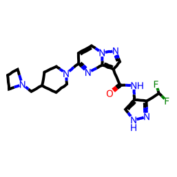 O=C(Nc1c[nH]nc1C(F)F)c1cnn2ccc(N3CCC(CN4CCC4)CC3)nc12